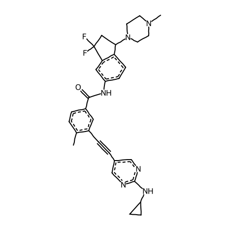 Cc1ccc(C(=O)Nc2ccc3c(c2)C(F)(F)CC3N2CCN(C)CC2)cc1C#Cc1cnc(NC2CC2)nc1